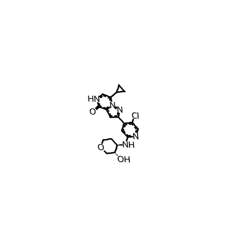 O=c1[nH]cc(C2CC2)n2nc(-c3cc(N[C@@H]4CCOC[C@H]4O)ncc3Cl)cc12